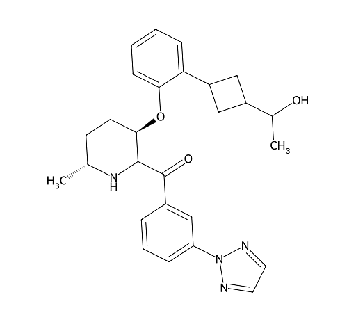 CC(O)C1CC(c2ccccc2O[C@@H]2CC[C@@H](C)NC2C(=O)c2cccc(-n3nccn3)c2)C1